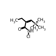 CCC(=C[N+](C)(C)C)C(=O)NCl